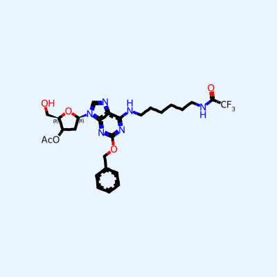 CC(=O)OC1C[C@H](n2cnc3c(NCCCCCCNC(=O)C(F)(F)F)nc(OCc4ccccc4)nc32)O[C@@H]1CO